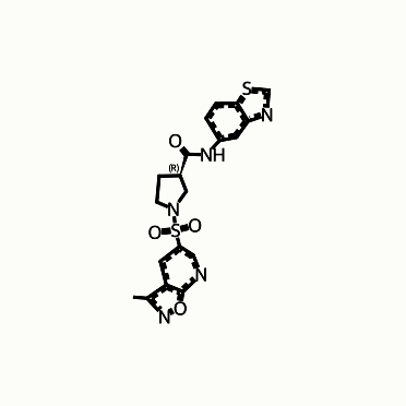 Cc1noc2ncc(S(=O)(=O)N3CC[C@@H](C(=O)Nc4ccc5scnc5c4)C3)cc12